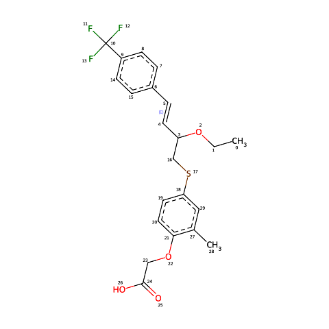 CCOC(/C=C/c1ccc(C(F)(F)F)cc1)CSc1ccc(OCC(=O)O)c(C)c1